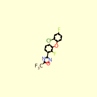 Fc1ccc(Oc2[c]ccc(-c3noc(C(F)(F)F)n3)c2F)c(Cl)c1